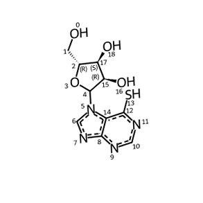 OC[C@H]1OC(n2cnc3ncnc(S)c32)[C@H](O)[C@@H]1O